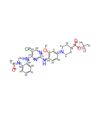 COc1cc(N2CCC(C(=O)OC(C)(C)C)CC2)ccc1Nc1ncc(Cl)c(Nc2ccccc2N(C)[S+](C)[O-])n1